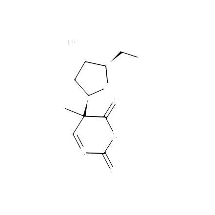 CC1([C@H]2C[C@H](O)[C@@H](CO)O2)C=NC(=O)NC1=O